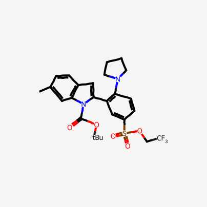 Cc1ccc2cc(-c3cc(S(=O)(=O)OCC(F)(F)F)ccc3N3CCCC3)n(C(=O)OC(C)(C)C)c2c1